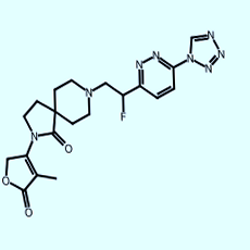 CC1=C(N2CCC3(CCN(CC(F)c4ccc(-n5cnnn5)nn4)CC3)C2=O)COC1=O